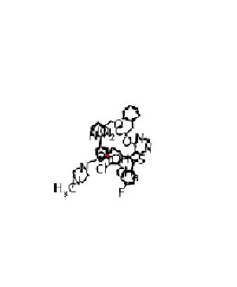 Cc1c(-c2c(-c3ccc(F)cc3)sc3ncnc(O[C@H](Cc4ccccc4OCc4ccnc(-c5cccc(O)c5)n4)C(=O)O)c23)ccc(OCCN2CCN(C)CC2)c1Cl